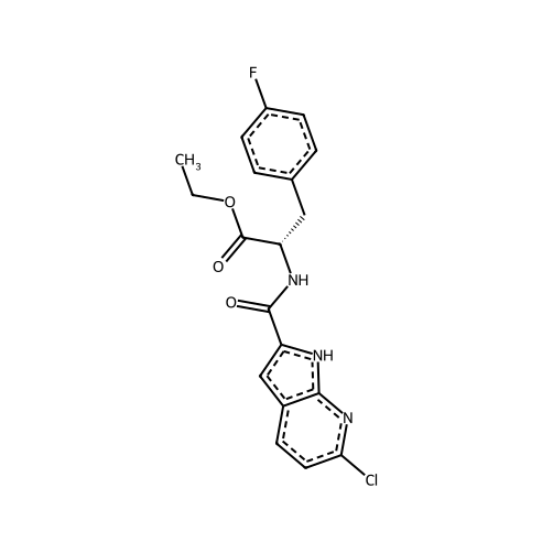 CCOC(=O)[C@H](Cc1ccc(F)cc1)NC(=O)c1cc2ccc(Cl)nc2[nH]1